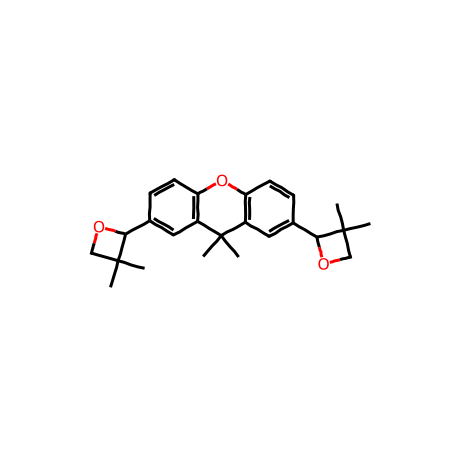 CC1(C)c2cc(C3OCC3(C)C)ccc2Oc2ccc(C3OCC3(C)C)cc21